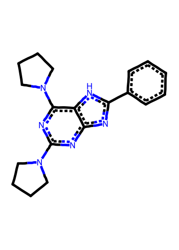 c1ccc(-c2nc3nc(N4CCCC4)nc(N4CCCC4)c3[nH]2)cc1